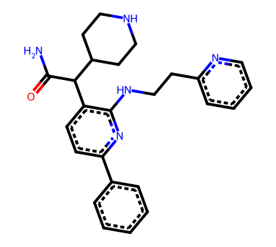 NC(=O)C(c1ccc(-c2ccccc2)nc1NCCc1ccccn1)C1CCNCC1